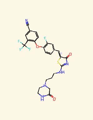 N#Cc1ccc(Oc2ccc(/C=C3\SC(NCCCN4CCNC(=O)C4)=NC3=O)cc2F)c(C(F)(F)F)c1